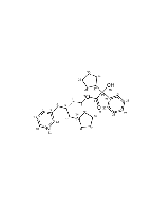 O=C(OCC[C@@H](Cc1cncnc1)CN1CCCC1)C(O)(c1ccccc1)C1CCCC1